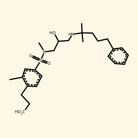 Cc1cc(S(=O)(=O)N(C)CC(O)CNC(C)(C)CCCc2ccccc2)ccc1CCC(=O)O